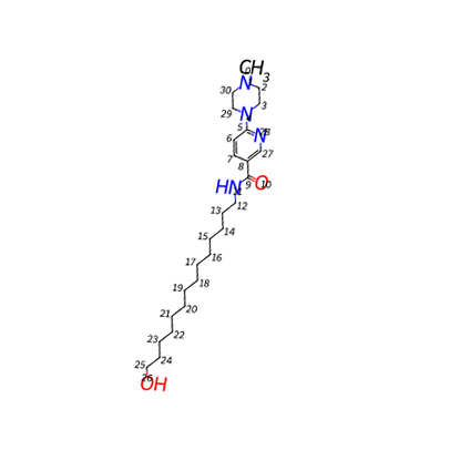 CN1CCN(c2ccc(C(=O)NCCCCCCCCCCCCCCO)cn2)CC1